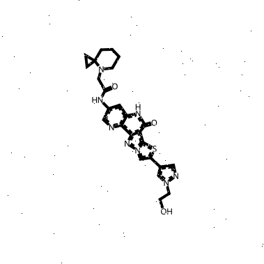 O=C(CN1CCCCC12CC2)Nc1cnc2c(c1)[nH]c(=O)c1c2nn2cc(-c3cnn(CCO)c3)sc12